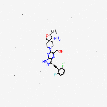 C[C@@H]1OCC2(CCN(c3nc4[nH]nc(C#Cc5c(F)cccc5Cl)c4nc3CO)CC2)[C@@H]1N